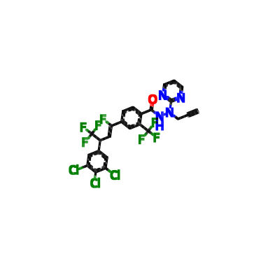 C#CCN(NC(=O)c1ccc(/C(F)=C/C(c2cc(Cl)c(Cl)c(Cl)c2)C(F)(F)F)cc1C(F)(F)F)c1ncccn1